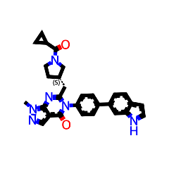 Cn1ncc2c(=O)n(-c3ccc(-c4ccc5cc[nH]c5c4)cc3)c(C[C@@H]3CCN(C(=O)C4CC4)C3)nc21